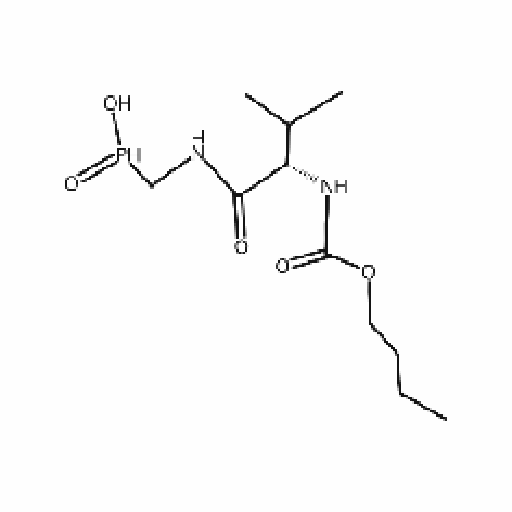 CCCCOC(=O)N[C@H](C(=O)NC[PH](=O)O)C(C)C